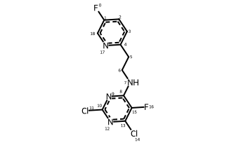 Fc1ccc(CCNc2nc(Cl)nc(Cl)c2F)nc1